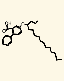 CCCCCCCCCCCCC(CCC)Oc1ccc(-c2ccccc2)c(C(=O)O)c1